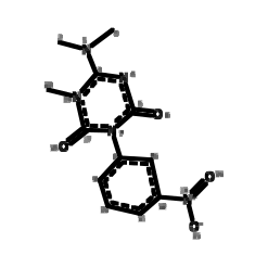 CN(C)c1nc(=O)n(-c2cccc([N+](=O)[O-])c2)c(=O)n1C